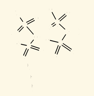 O=S(=O)([O-])OS(=O)(=O)[O-].O=S(=O)([O-])OS(=O)(=O)[O-].[K+].[K+].[K+].[K+]